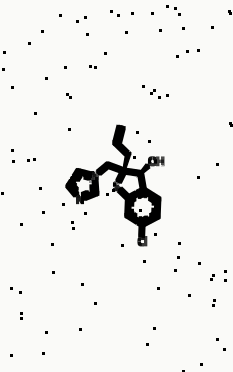 C=CC[C@]1(Cn2ccnc2)Sc2cc(Cl)ccc2[C@@H]1O